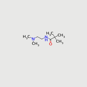 CN(C)CCNC(=O)C(C)(C)C